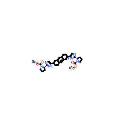 CC(C)(C)OC(=O)N1CCC[C@H]1c1ncc(-c2ccc3c(c2)C2CCC3c3cc(-c4cnc([C@@H]5CCCN5C(=O)OC(C)(C)C)[nH]4)ccc32)[nH]1